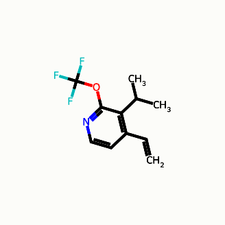 C=Cc1ccnc(OC(F)(F)F)c1C(C)C